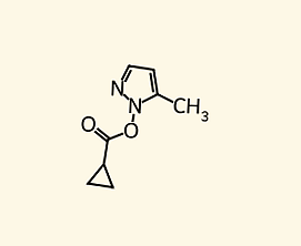 Cc1ccnn1OC(=O)C1CC1